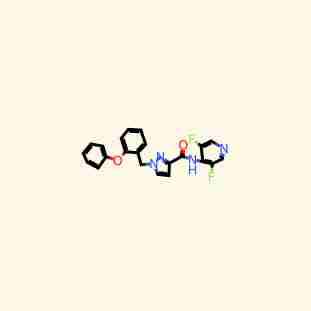 O=C(Nc1c(F)cncc1F)c1ccn(Cc2ccccc2Oc2ccccc2)n1